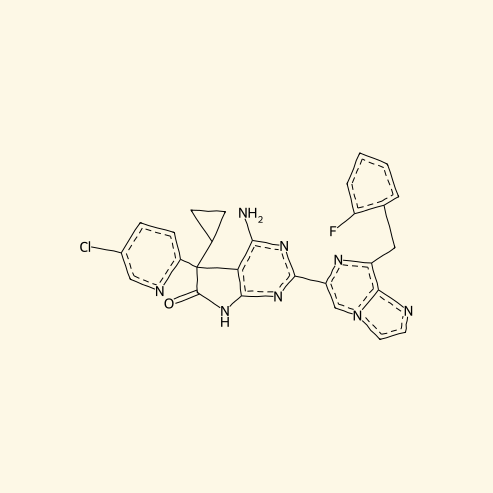 Nc1nc(-c2cn3ccnc3c(Cc3ccccc3F)n2)nc2c1C(c1ccc(Cl)cn1)(C1CC1)C(=O)N2